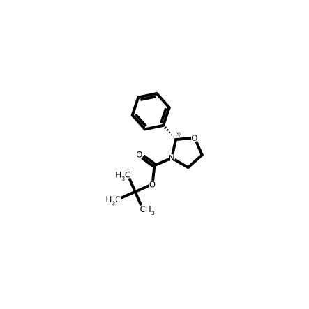 CC(C)(C)OC(=O)N1CCO[C@H]1c1ccccc1